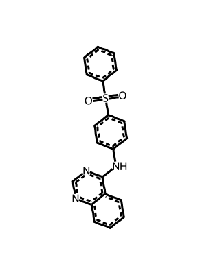 O=S(=O)(c1ccccc1)c1ccc(Nc2ncnc3ccccc23)cc1